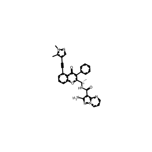 Cc1c(C#Cc2cccc3oc([C@H](C)NC(=O)c4c(N)nn5cccnc45)c(-c4ccccc4)c(=O)c23)cnn1C